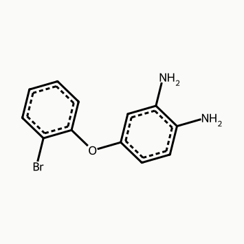 Nc1ccc(Oc2ccccc2Br)cc1N